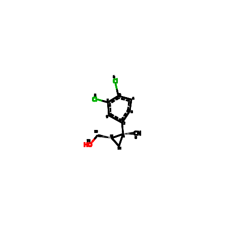 N#C[C@]1(c2ccc(Cl)c(Cl)c2)C[C@@H]1CO